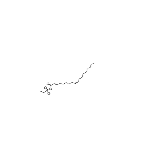 CCCCCCCC/C=C\CCCCCCCC(=O)OS(=O)(=O)CC